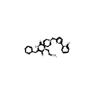 CCCN1C(=O)C(CC2CCCCC2)NC(=O)C12CCN(Cc1ccc(-c3ccccc3Cl)o1)CC2